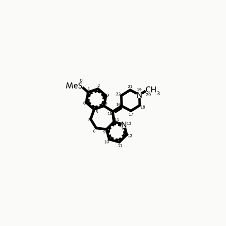 CSc1ccc2c(c1)CCc1cccnc1C2=C1CCN(C)CC1